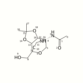 CC(=O)N[C@]12COC(CO)(CCN1)C1OC(C)(C)OC12